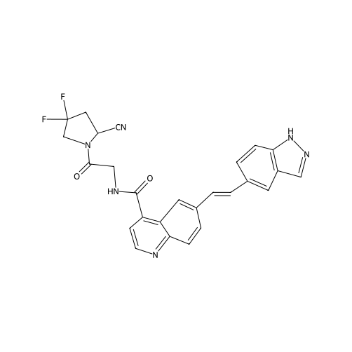 N#CC1CC(F)(F)CN1C(=O)CNC(=O)c1ccnc2ccc(C=Cc3ccc4[nH]ncc4c3)cc12